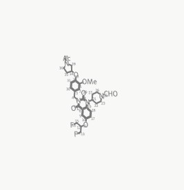 COc1cc(Cn2c(=O)c3cc(OC(CF)CF)ccc3n(C3CCN(C=O)CC3)c2=O)ccc1OC1CCN(C(C)=O)C1